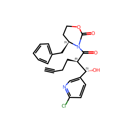 C#CCC[C@@H](C(=O)N1C(=O)OCC[C@@H]1Cc1ccccc1)[C@H](O)c1ccc(Cl)nc1